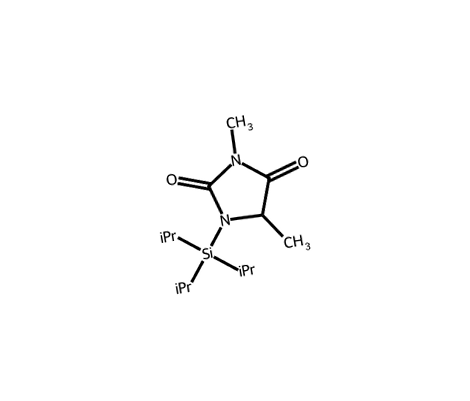 CC1C(=O)N(C)C(=O)N1[Si](C(C)C)(C(C)C)C(C)C